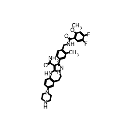 COc1cc(F)c(F)cc1C(=O)NCc1ccc(-c2nn3c(c2C(N)=O)Nc2ccc(N4CCNCC4)cc2CC3)cc1C